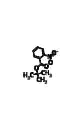 CC(C)(C)OC(=O)c1ccccc1[N+](=O)[O-]